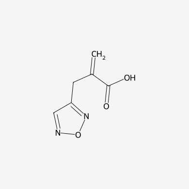 C=C(Cc1cnon1)C(=O)O